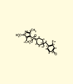 Cc1nn(C)c(C)c1S(=O)(=O)N1CCC(F)(Cc2ccc(Cl)cc2F)CC1